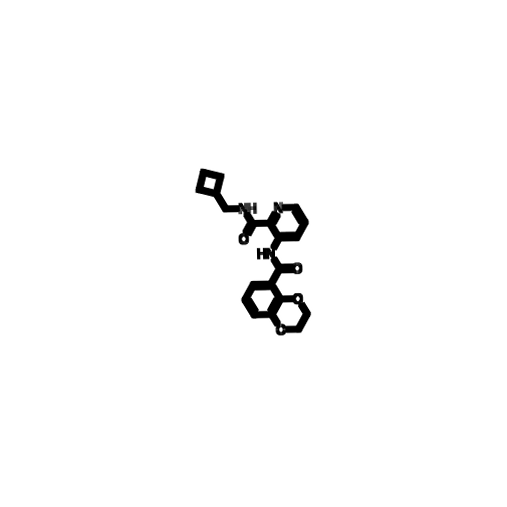 O=C(Nc1cccnc1C(=O)NCC1CCC1)c1cccc2c1OCCO2